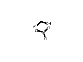 CCCCO.[Cl][In]([Cl])[Cl]